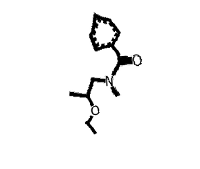 CCOC(C)CN(C)C(=O)c1ccccc1